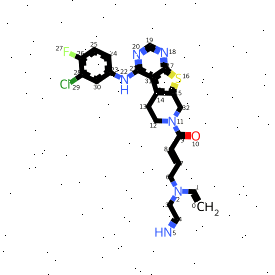 C=CN(CC=N)C/C=C/C(=O)N1CCc2c(sc3ncnc(Nc4ccc(F)c(Cl)c4)c23)C1